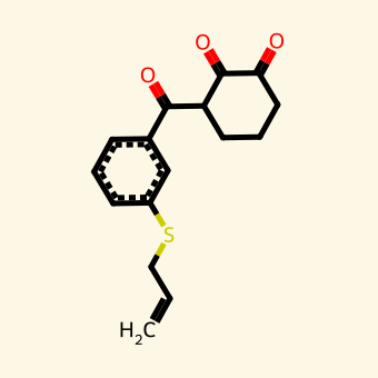 C=CCSc1cccc(C(=O)C2CCCC(=O)C2=O)c1